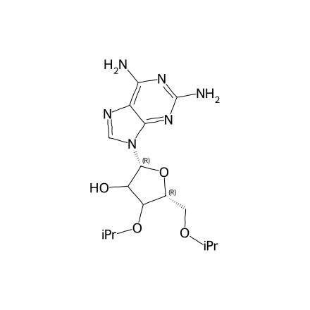 CC(C)OC[C@H]1O[C@@H](n2cnc3c(N)nc(N)nc32)C(O)C1OC(C)C